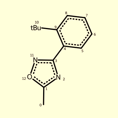 Cc1nc(-c2ccccc2C(C)(C)C)no1